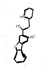 Cl.OC(CC1CCCCN1)c1ccc2c(c1)oc1ccccc12